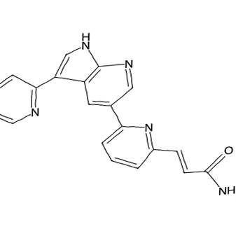 NC(=O)C=Cc1cccc(-c2cnc3[nH]cc(-c4ccncn4)c3c2)n1